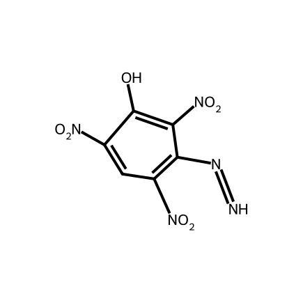 N=Nc1c([N+](=O)[O-])cc([N+](=O)[O-])c(O)c1[N+](=O)[O-]